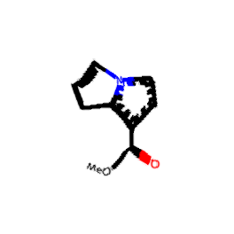 COC(=O)c1ccn2c1CC=C2